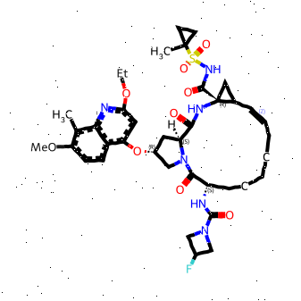 CCOc1cc(O[C@@H]2C[C@H]3C(=O)N[C@]4(C(=O)NS(=O)(=O)C5(C)CC5)CC4/C=C\CCCCC[C@H](NC(=O)N4CC(F)C4)C(=O)N3C2)c2ccc(OC)c(C)c2n1